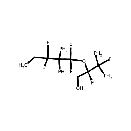 CCC(F)(F)C(P)(P)C(F)(F)O[C@@](F)(CO)C(F)(P)P